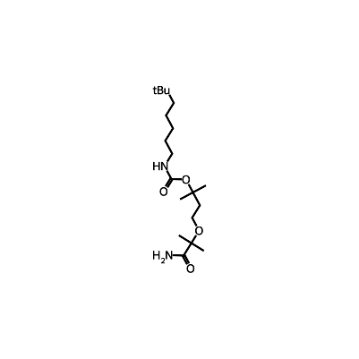 CC(C)(C)CCCCCNC(=O)OC(C)(C)CCOC(C)(C)C(N)=O